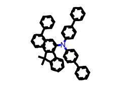 CC1(C)c2ccccc2-c2c(N(c3ccc(-c4ccccc4)cc3)c3ccc(-c4ccccc4)cc3)cc3c(-c4ccccc4)cccc3c21